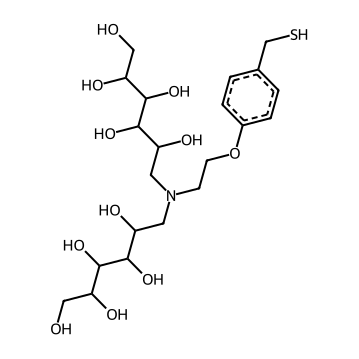 OCC(O)C(O)C(O)C(O)CN(CCOc1ccc(CS)cc1)CC(O)C(O)C(O)C(O)CO